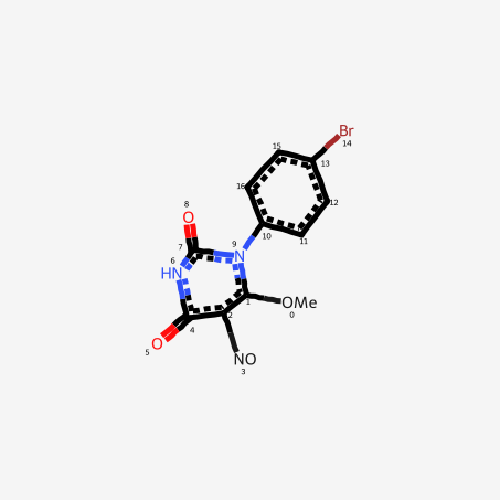 COc1c(N=O)c(=O)[nH]c(=O)n1-c1ccc(Br)cc1